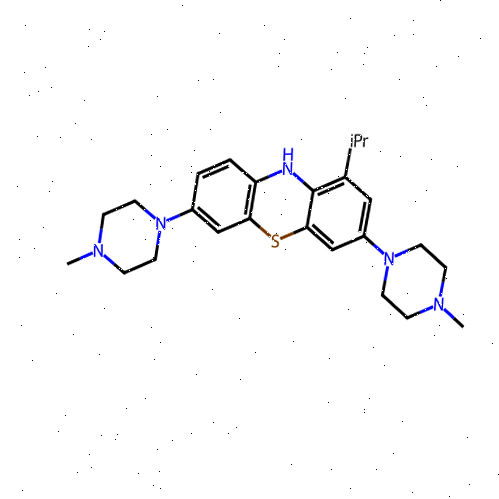 CC(C)c1cc(N2CCN(C)CC2)cc2c1Nc1ccc(N3CCN(C)CC3)cc1S2